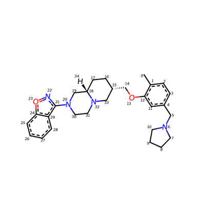 Cc1ccc(CN2CCCC2)cc1OC[C@H]1CC[C@H]2CN(c3noc4ccccc34)CCN2C1